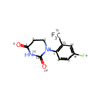 O=C1CCN(c2ccc(F)cc2C(F)(F)F)C(=O)N1